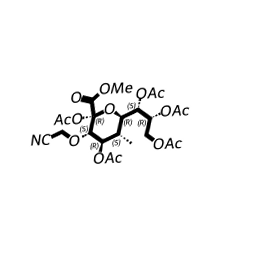 COC(=O)[C@@]1(OC(C)=O)O[C@@H]([C@H](OC(C)=O)[C@@H](COC(C)=O)OC(C)=O)[C@H](C)[C@@H](OC(C)=O)[C@@H]1OCC#N